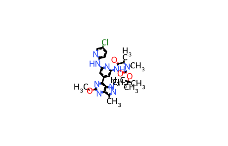 COc1nc(-c2cc(NC(=O)C(C)N(C)C(=O)OC(C)(C)C)nc(Nc3ccc(Cl)cn3)c2)c2c(n1)c(C)nn2C